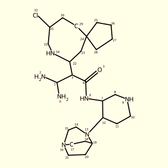 NC(N)C(C(=O)NC1CNCCC1N1CCN2CCC1CC2)C1CC2(CCCC2)CCC(Cl)CN1